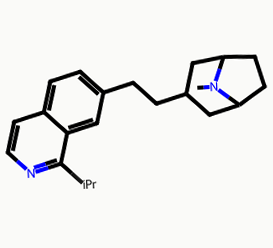 CC(C)c1nccc2ccc(CCC3CC4CCC(C3)N4C)cc12